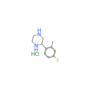 Cc1cc(F)ccc1C1CNCCN1.Cl